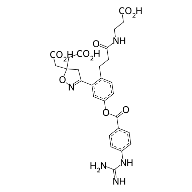 N=C(N)Nc1ccc(C(=O)Oc2ccc(CCC(=O)NCCC(=O)O)c(C3=NOC(CC(=O)O)(CC(=O)O)C3)c2)cc1